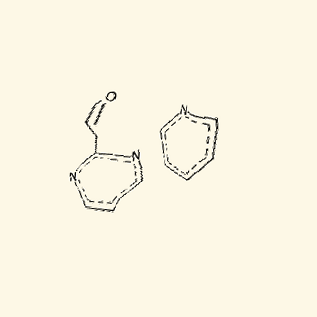 O=Cc1ncccn1.c1ccncc1